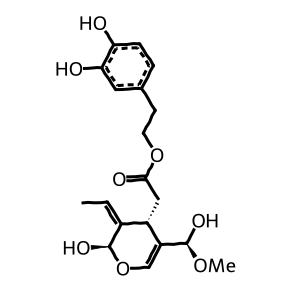 C/C=C1\[C@H](O)OC=C([C@@H](O)OC)[C@H]1CC(=O)OCCc1ccc(O)c(O)c1